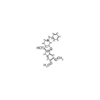 COc1cc2c(cc1OC)C(=O)C(=CC1CCN(Cc3ccccc3)CC1)C2.Cl